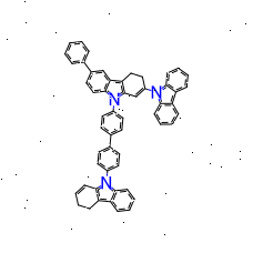 C1=Cc2c(c3ccccc3n2-c2ccc(-c3ccc(-n4c5c(c6cc(-c7ccccc7)ccc64)CCC(n4c6ccccc6c6ccccc64)=C5)cc3)cc2)CC1